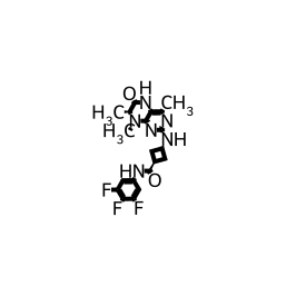 Cc1nc(N[C@H]2C[C@H](C(=O)Nc3cc(F)c(F)c(F)c3)C2)nc2c1NC(=O)[C@H](C)N2C